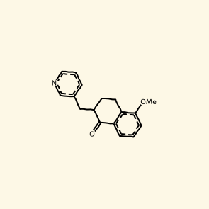 COc1cccc2c1CCC(Cc1cccnc1)C2=O